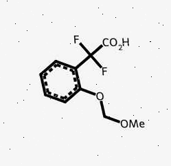 COCOc1ccccc1C(F)(F)C(=O)O